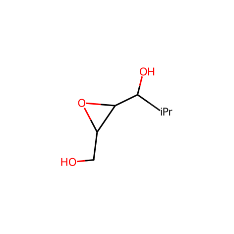 CC(C)C(O)C1OC1CO